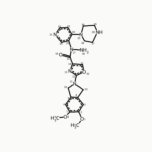 COc1cc2c(cc1OC)CN(c1nc(C(=O)N(N)c3cnccc3N3CCNCC3)co1)C2